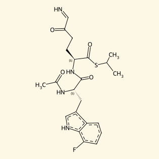 CC(=O)N[C@@H](Cc1c[nH]c2c(F)cccc12)C(=O)N[C@@H](CCC(=O)C=N)C(=O)SC(C)C